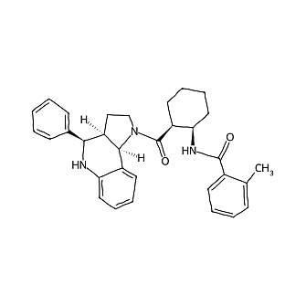 Cc1ccccc1C(=O)N[C@@H]1CCCC[C@@H]1C(=O)N1CC[C@@H]2[C@H](c3ccccc3)Nc3ccccc3[C@@H]21